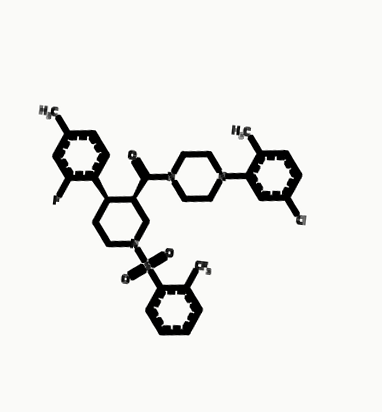 Cc1ccc([C@@H]2CCN(S(=O)(=O)c3ccccc3C(F)(F)F)C[C@@H]2C(=O)N2CCN(c3cc(Cl)ccc3C)CC2)c(F)c1